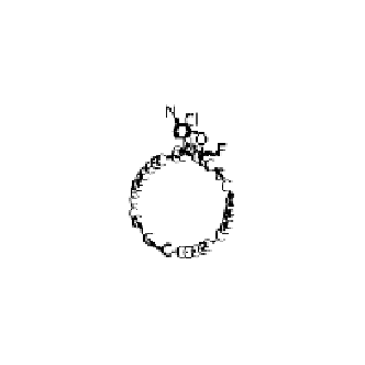 Cc1c(N2C(=O)N(CCCF)C3(CCCCCCCCCCCCCCCCCCCCCCCCCCCCCCCCCCCCCCCCC3)C2=O)ccc(C#N)c1Cl